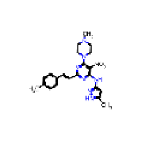 Cc1ccc(/C=C/c2nc(Nc3cc(C)[nH]n3)c([N+](=O)[O-])c(N3CCN(C)CC3)n2)cc1